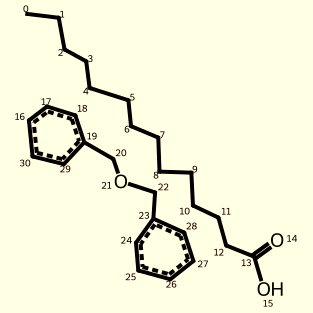 CCCCCCCCCCCCCC(=O)O.c1ccc(COCc2ccccc2)cc1